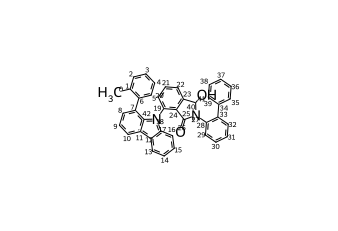 Cc1ccccc1-c1cccc2c3ccccc3n(-c3cccc4c3C(=O)N(c3ccccc3-c3ccccc3)C4O)c12